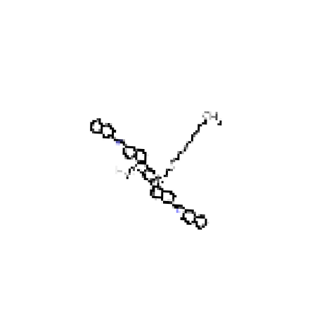 CCCCCCCCCCCCCCn1c2cc3c4ccc5cc(/C=C/c6ccc7ccccc7c6)ccc5c4n(C)c3cc2c2ccc3cc(/C=C/c4ccc5ccccc5c4)ccc3c21